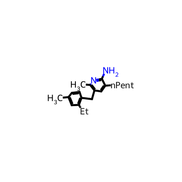 CCCCCc1cc(Cc2ccc(C)cc2CC)c(C)nc1N